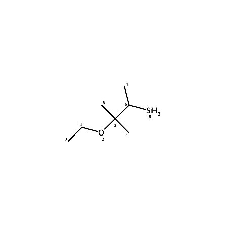 CCOC(C)(C)[C](C)[SiH3]